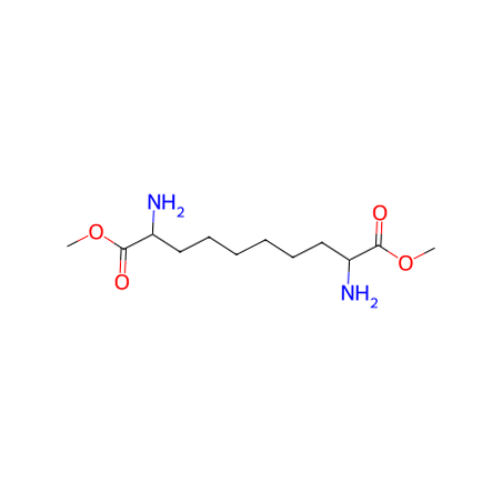 COC(=O)C(N)CCCCCCC(N)C(=O)OC